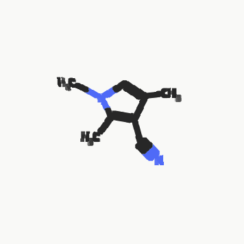 Cc1cn(C)c(C)c1C#N